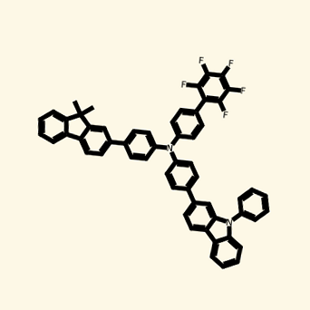 CC1(C)c2ccccc2-c2ccc(-c3ccc(N(c4ccc(-c5ccc6c7ccccc7n(-c7ccccc7)c6c5)cc4)c4ccc(-c5c(F)c(F)c(F)c(F)c5F)cc4)cc3)cc21